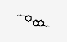 CCCCCC[C@H]1CC[C@H](c2ccc3cc(CCC)ccc3c2)CC1